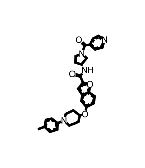 Cc1ccc(N2CCC(Oc3ccc4oc(C(=O)N[C@@H]5CCN(C(=O)c6ccncc6)C5)cc4c3)CC2)cc1